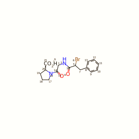 C[C@H](NC(=O)C(Br)Cc1ccccc1)C(=O)N1CCC[C@H]1C(=O)O